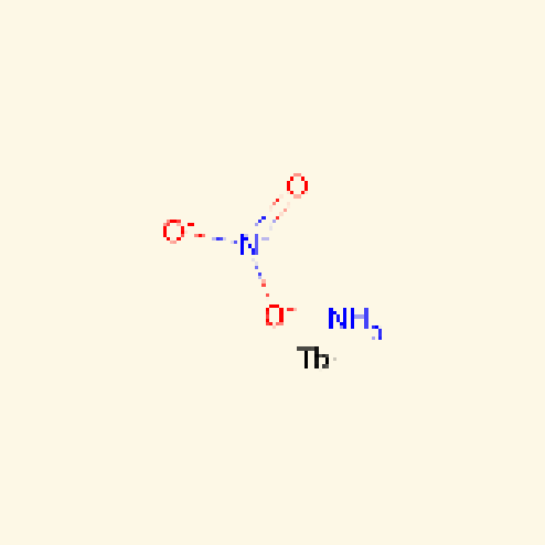 N.O=[N+]([O-])[O-].[Tb]